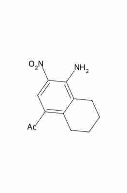 CC(=O)c1cc([N+](=O)[O-])c(N)c2c1CCCC2